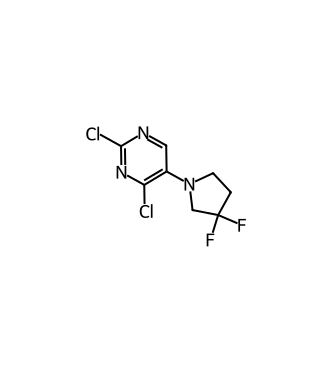 FC1(F)CCN(c2cnc(Cl)nc2Cl)C1